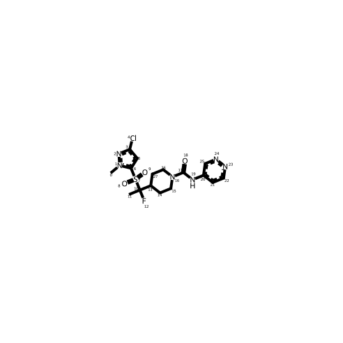 Cn1nc(Cl)cc1S(=O)(=O)C(C)(F)C1CCN(C(=O)Nc2ccnnc2)CC1